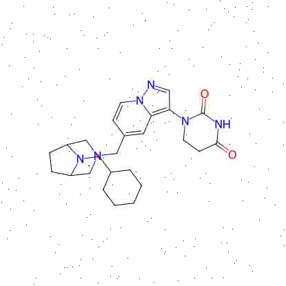 O=C1CCN(c2cnn3ccc(CN4CC5CCC(C4)N5CC4CCCCC4)cc23)C(=O)N1